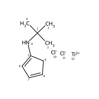 CC(C)(C)NC1=CC=CC1.[Cl-].[Cl-].[Ti+2]